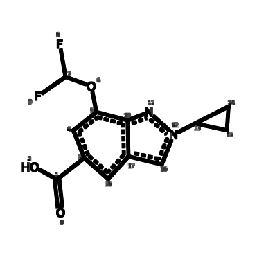 O=C(O)c1cc(OC(F)F)c2nn(C3CC3)cc2c1